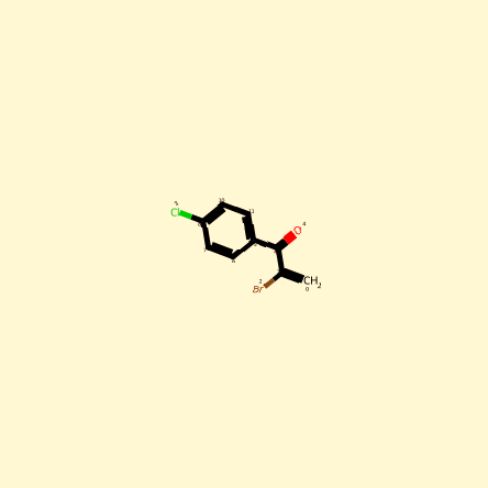 C=C(Br)C(=O)c1ccc(Cl)cc1